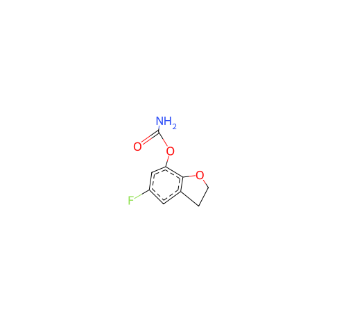 NC(=O)Oc1cc(F)cc2c1OCC2